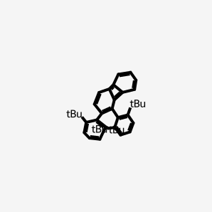 CC(C)(C)c1cccc(C(C)(C)C)c1-c1ccc2c(c1-c1c(C(C)(C)C)cccc1C(C)(C)C)=c1ccccc1=2